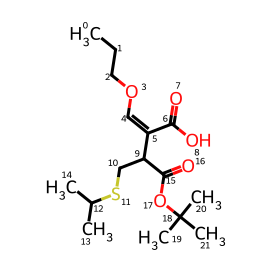 CCCOC=C(C(=O)O)C(CSC(C)C)C(=O)OC(C)(C)C